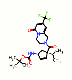 CC(C)[C@]1(C(=O)N2CCn3c(cc(C(F)(F)F)cc3=O)C2)C=C[C@@H](NC(=O)OC(C)(C)C)C1